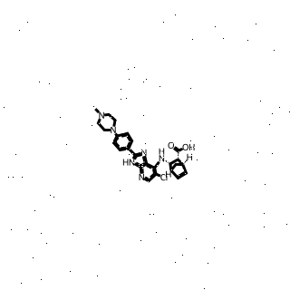 CN1CCN(c2ccc(-c3nc4c(N[C@@H]5[C@H](C(=O)O)[C@H]6C=C[C@@H]5C6)c(Cl)cnc4[nH]3)cc2)CC1